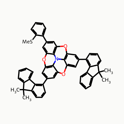 CSc1ccccc1-c1cc2c3c(c1)Oc1cc(-c4cccc5c4-c4ccccc4C5(C)C)cc4c1N3c1c(cc(-c3cccc5c3-c3ccccc3C5(C)C)cc1O4)O2